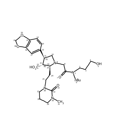 CCCCN(CCCO)C(=O)CN1C[C@H](c2ccc3c(c2)OCO3)[C@@H](C(=O)O)[C@@H]1CCN1CCCN(C)C1=O